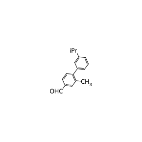 Cc1cc(C=O)ccc1-c1cccc(C(C)C)c1